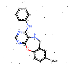 COc1ccc2c(c1)CNc1c(Nc3ccccc3)ncnc1O2